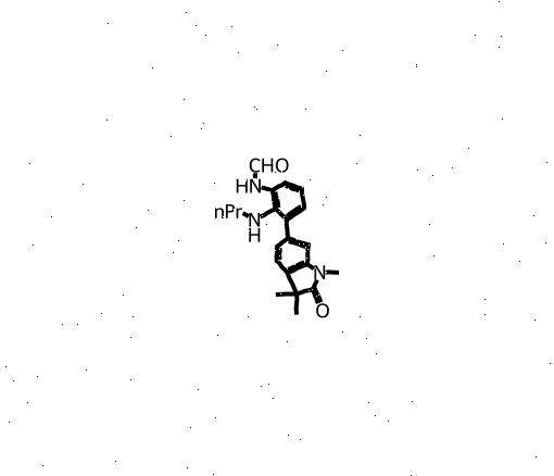 CCCNc1c(NC=O)cccc1-c1ccc2c(c1)N(C)C(=O)C2(C)C